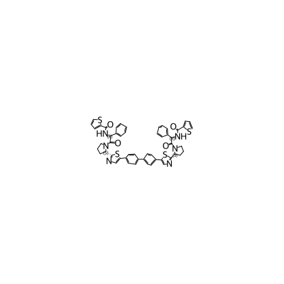 O=C(N[C@@H](C(=O)N1CCC[C@H]1c1ncc(-c2ccc(-c3ccc(-c4cnc([C@@H]5CCCN5C(=O)[C@H](NC(=O)c5cccs5)c5ccccc5)s4)cc3)cc2)s1)c1ccccc1)c1cccs1